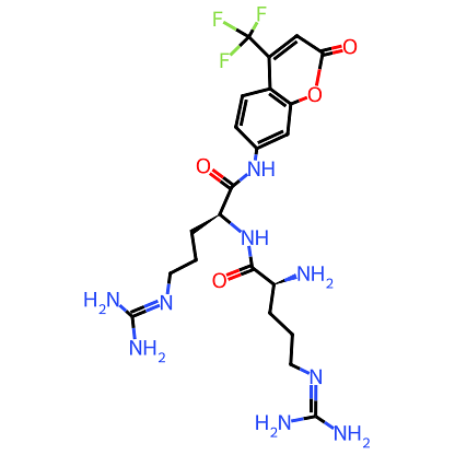 NC(N)=NCCC[C@H](NC(=O)[C@@H](N)CCCN=C(N)N)C(=O)Nc1ccc2c(C(F)(F)F)cc(=O)oc2c1